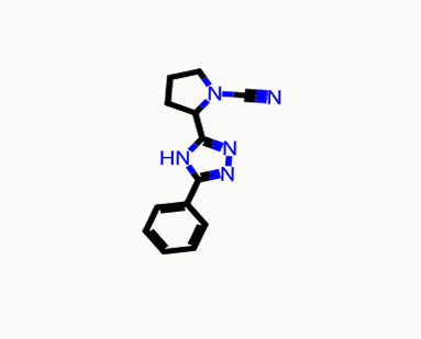 N#CN1CCCC1c1nnc(-c2ccccc2)[nH]1